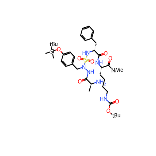 CNC(=O)[C@H](CCCCNC(=O)OC(C)(C)C)NC(=O)[C@@H](Cc1ccccc1)NS(=O)(=O)N(Cc1ccc(O[Si](C)(C)C(C)(C)C)cc1)NC(=O)[C@H](C)N